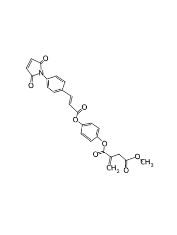 C=C(CC(=O)OC)C(=O)Oc1ccc(OC(=O)/C=C/c2ccc(N3C(=O)C=CC3=O)cc2)cc1